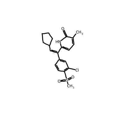 Cc1ccc(/C(=C\C2CCCC2)c2ccc(S(C)(=O)=O)c(Cl)c2)[nH]c1=O